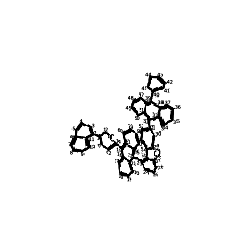 C1=C(c2cccc3ccccc23)CCC(c2c3ccccc3c(-c3cccc4oc5cc(-c6c7ccccc7c(-c7ccccc7)c7ccccc67)ccc5c34)c3ccccc23)=C1